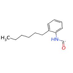 CCCCCCc1ccccc1N[C]=O